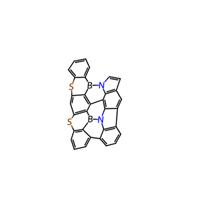 c1ccc2c(c1)Sc1cc3c4c5c1B2n1ccc2cc6c7cccc8c7n(c6c-5c21)B4c1c(cccc1-8)S3